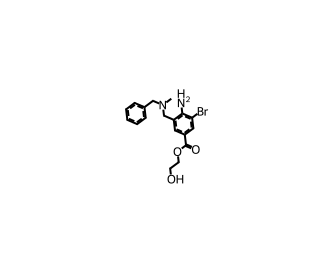 CN(Cc1ccccc1)Cc1cc(C(=O)OCCO)cc(Br)c1N